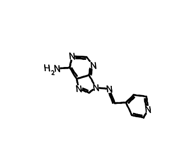 Nc1ncnc2c1ncn2N=Cc1ccncc1